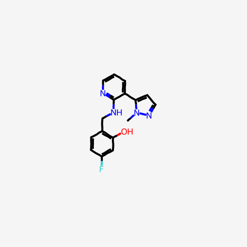 Cn1nccc1-c1cccnc1NCc1ccc(F)cc1O